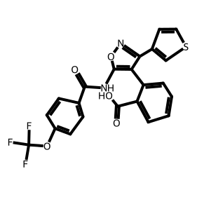 O=C(Nc1onc(-c2ccsc2)c1-c1ccccc1C(=O)O)c1ccc(OC(F)(F)F)cc1